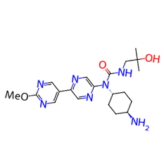 COc1ncc(-c2cnc(N(C(=O)NCC(C)(C)O)[C@H]3CC[C@H](N)CC3)cn2)cn1